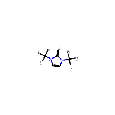 CCC(CC)(CC)n1ccn(C(CC)(CC)CC)c1=[Se]